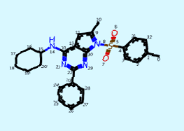 Cc1ccc(S(=O)(=O)n2c(C)cc3c(NC4CCCCC4)nc(-c4ccccc4)nc32)cc1